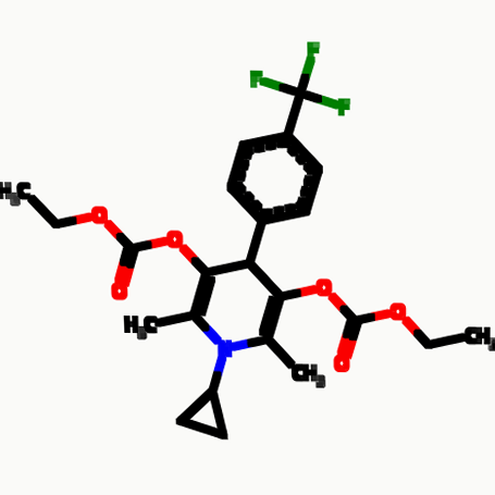 CCOC(=O)OC1=C(C)N(C2CC2)C(C)=C(OC(=O)OCC)C1c1ccc(C(F)(F)F)cc1